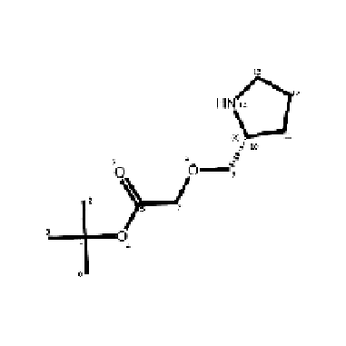 CC(C)(C)OC(=O)COC[C@H]1CCCN1